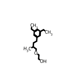 CCc1cc(CC)cc(CCC(C)COCCO)c1